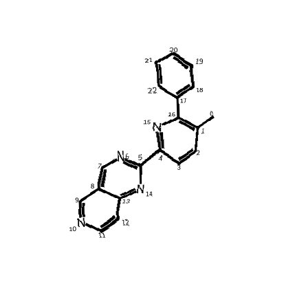 Cc1ccc(-c2ncc3cnccc3n2)nc1-c1ccccc1